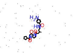 CC(CCNC(=O)c1ccc(N)cc1)CC(=O)N1CCC2C1C(=O)CN2C(=O)C1CCCC1